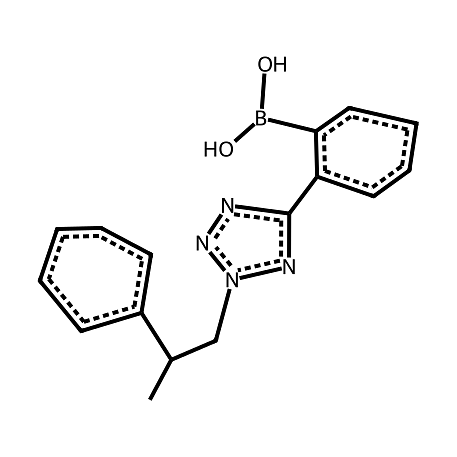 CC(Cn1nnc(-c2ccccc2B(O)O)n1)c1ccccc1